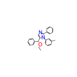 CCOC(c1ccccc1)c1cnc(-c2ccccc2)n1-c1cccc(C)c1